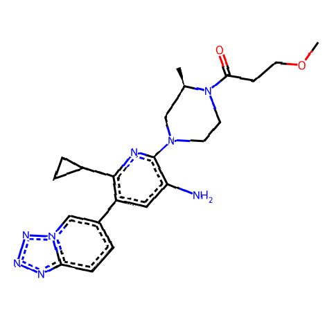 COCCC(=O)N1CCN(c2nc(C3CC3)c(-c3ccc4nnnn4c3)cc2N)C[C@H]1C